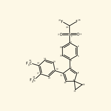 O=S(=O)(c1ccc(C2=CC3(C=C2c2ccc(C(F)(F)F)c(C(F)(F)F)c2)CC3)cc1)C(F)F